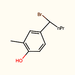 CCCC(Br)c1ccc(O)c(C)c1